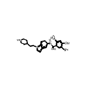 CC(C)c1cc(C(=N)Nc2ccc3c(ccn3CCC3CCNCC3)c2)c(O)cc1O